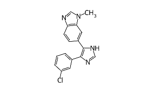 Cn1cnc2ccc(-c3[nH]cnc3-c3cccc(Cl)c3)cc21